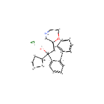 Cl.OC(CC1CNCCO1)(c1ccccc1-c1ccccc1)C1CCCC1